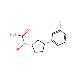 NC(=O)N(O)[C@H]1CC[C@@H](c2cccc(F)c2)C1